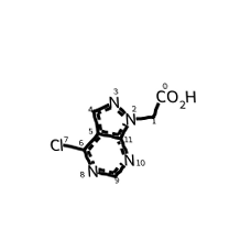 O=C(O)Cn1ncc2c(Cl)ncnc21